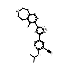 Cc1c(-c2noc(-c3cnc(NC(C)C)c(C#N)c3)n2)ccc2c1CCNCC2.Cl